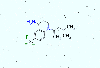 C=C(CC(C)C)N1CCC(N)c2cc(C(F)(F)F)ccc21